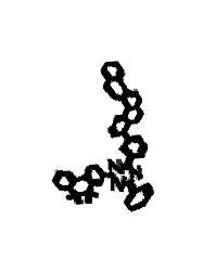 CC1(C)c2ccccc2-c2ccc(-c3nc(-c4ccccc4)nc(-c4cccc(-c5cccc6c5ccc5ccc7c8ccccc8ccc7c56)c4)n3)cc2C1(C)C